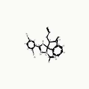 C=CCC(CC)C1(c2ccccc2C)SC(c2cc(F)ccc2F)=NN1C(C)=O